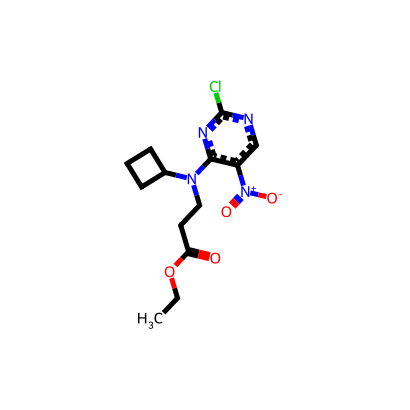 CCOC(=O)CCN(c1nc(Cl)ncc1[N+](=O)[O-])C1CCC1